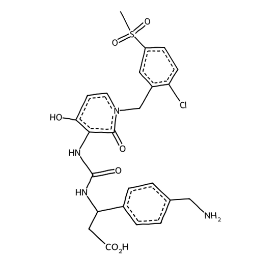 CS(=O)(=O)c1ccc(Cl)c(Cn2ccc(O)c(NC(=O)NC(CC(=O)O)c3ccc(CN)cc3)c2=O)c1